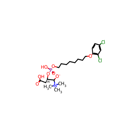 C[N+](C)(C)C([O-])[C@@H](CC(=O)O)OP(=O)(O)OCCCCCCCCOc1ccc(Cl)cc1Cl